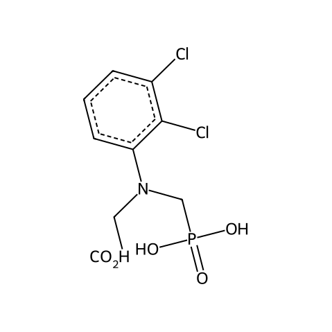 O=C(O)CN(CP(=O)(O)O)c1cccc(Cl)c1Cl